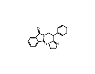 O=C1c2ccccc2C(=O)N1CC(c1ccccc1)c1nccs1